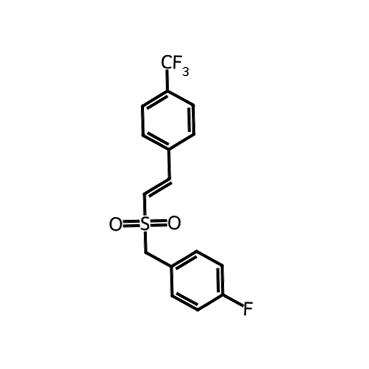 O=S(=O)(/C=C/c1ccc(C(F)(F)F)cc1)Cc1ccc(F)cc1